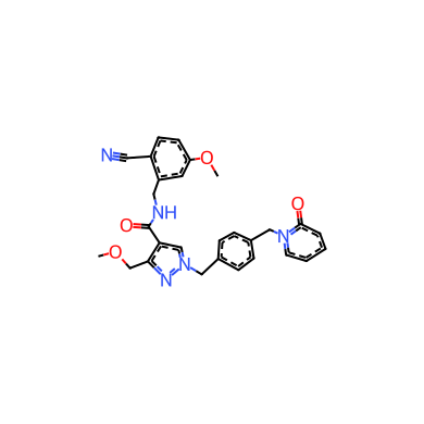 COCc1nn(Cc2ccc(Cn3ccccc3=O)cc2)cc1C(=O)NCc1cc(OC)ccc1C#N